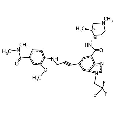 COc1cc(C(=O)N(C)C)ccc1NCC#Cc1cc(C(=O)N[C@H]2CCN(C)C[C@@H]2C)c2ncn(CC(F)(F)F)c2c1